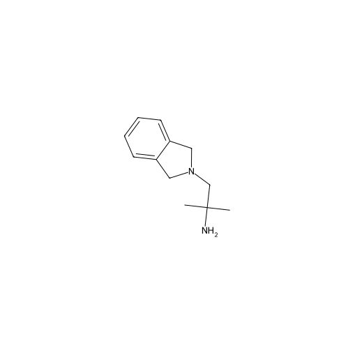 CC(C)(N)CN1Cc2ccccc2C1